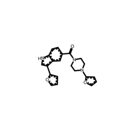 O=C(c1ccc2[nH]cc(-c3ccco3)c2c1)N1CCN(c2ccco2)CC1